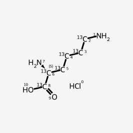 Cl.N[13CH2][13CH2][13CH2][13CH2][13C@H](N)[13C](=O)O